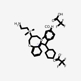 C[N+](C)(CCN)C1COC2=CC=CC/C2=C2\C(C3CCCCC3)c3ccc(C(=O)O)cc3N2C1.O=C(O)C(F)(F)F.O=C([O-])C(F)(F)F